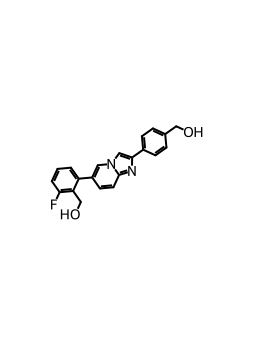 OCc1ccc(-c2cn3cc(-c4cccc(F)c4CO)ccc3n2)cc1